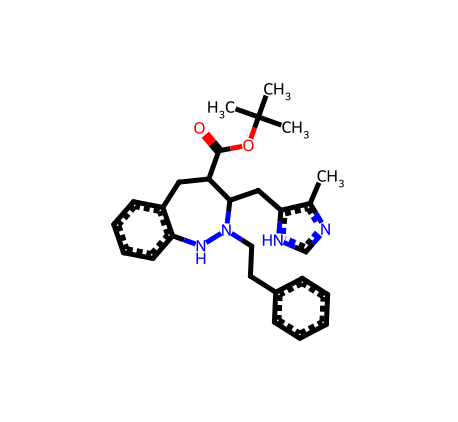 Cc1nc[nH]c1CC1C(C(=O)OC(C)(C)C)Cc2ccccc2NN1CCc1ccccc1